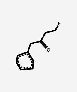 O=C(CCF)Cc1ccccc1